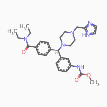 CCN(CC)C(=O)c1ccc([C@H](c2cccc(NC(=O)OC)c2)N2CCN(Cc3ncc[nH]3)CC2)cc1